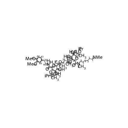 CNCCCCCCN(C)C(=O)C1O[C@@H](C(C)(C)OC(C)C)[C@@H](O)[C@@H](O)[C@@H]1OC(C)(C)CCOC(C)(C)[C@@H]1OC(C(=O)NCCc2ccc(OC)c(OC)c2)[C@@H](OC(C)(C)C(C)C)[C@H](O)[C@@H]1O